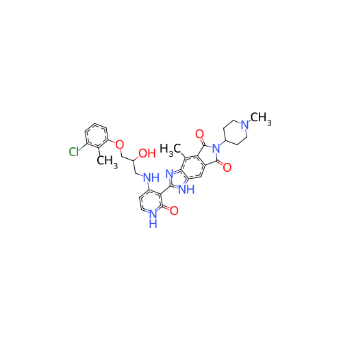 Cc1c(Cl)cccc1OCC(O)CNc1cc[nH]c(=O)c1-c1nc2c(C)c3c(cc2[nH]1)C(=O)N(C1CCN(C)CC1)C3=O